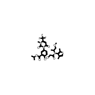 CC(C)OC(=O)c1cc(-n2c(=O)cc(C(F)(F)F)n(C)c2=O)ccc1Cl.COCC(C)N(C(=O)CCl)c1c(C)csc1C